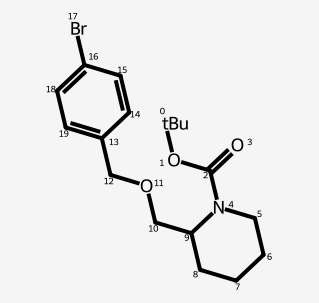 CC(C)(C)OC(=O)N1CCCCC1COCc1ccc(Br)cc1